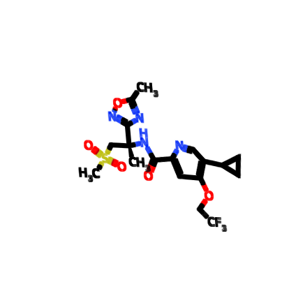 Cc1nc([C@@](C)(CS(C)(=O)=O)NC(=O)c2cc(OCC(F)(F)F)c(C3CC3)cn2)no1